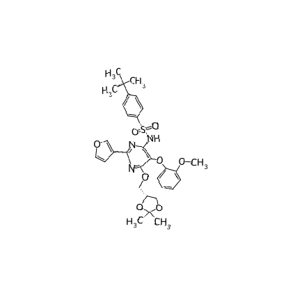 COc1ccccc1Oc1c(NS(=O)(=O)c2ccc(C(C)(C)C)cc2)nc(-c2ccoc2)nc1OC[C@@H]1COC(C)(C)O1